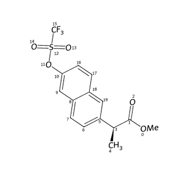 COC(=O)[C@@H](C)c1ccc2cc(OS(=O)(=O)C(F)(F)F)ccc2c1